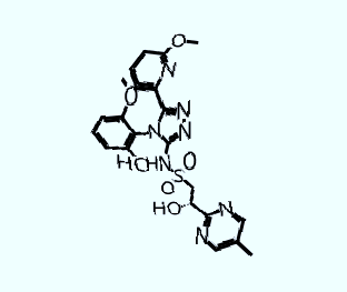 COC1=NC(c2nnc(NS(=O)(=O)C[C@@H](O)c3ncc(C)cn3)n2-c2c(O)cccc2OC)=C=C=C1